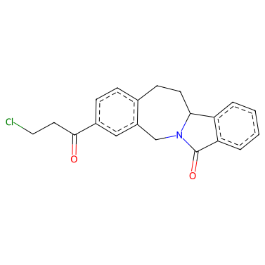 O=C(CCCl)c1ccc2c(c1)CN1C(=O)c3ccccc3C1CC2